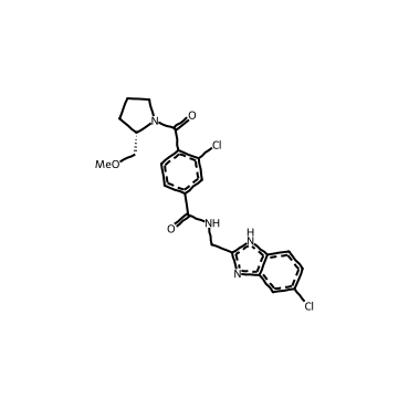 COC[C@@H]1CCCN1C(=O)c1ccc(C(=O)NCc2nc3cc(Cl)ccc3[nH]2)cc1Cl